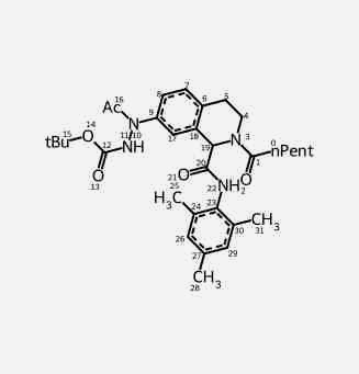 CCCCCC(=O)N1CCc2ccc(N(NC(=O)OC(C)(C)C)C(C)=O)cc2C1C(=O)Nc1c(C)cc(C)cc1C